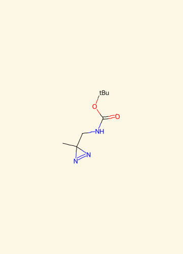 CC1(CNC(=O)OC(C)(C)C)N=N1